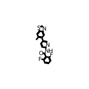 Cc1cc2scnc2cc1-c1ccc(NC(=O)c2c(F)cccc2F)nc1